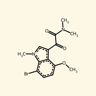 COc1ccc(Br)c2c1c(C(=O)C(=O)N(C)C)cn2C